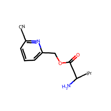 CC(C)C(N)C(=O)OCc1cccc(C#N)n1